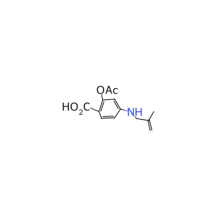 C=C(C)CNc1ccc(C(=O)O)c(OC(C)=O)c1